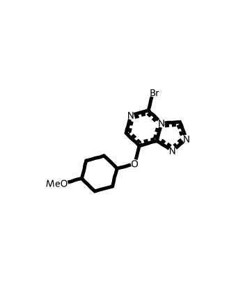 COC1CCC(Oc2cnc(Br)n3cnnc23)CC1